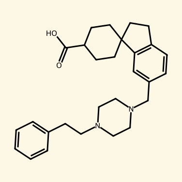 O=C(O)C1CCC2(CCc3ccc(CN4CCN(CCc5ccccc5)CC4)cc32)CC1